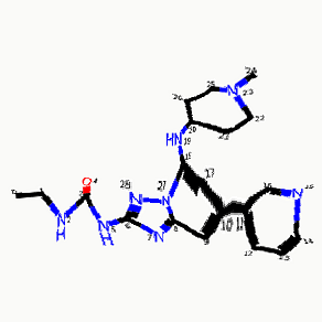 CCNC(=O)Nc1nc2cc(-c3cccnc3)cc(NC3CCN(C)CC3)n2n1